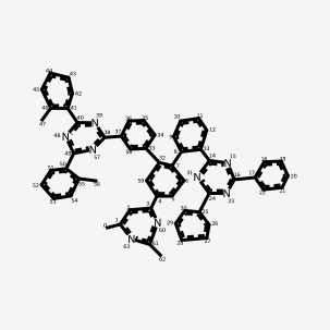 Cc1cc(-c2ccc(-c3ccccc3-c3nc(-c4ccccc4)nc(-c4ccccc4)n3)c(-c3cccc(-c4nc(-c5ccccc5C)nc(-c5ccccc5C)n4)c3)c2)nc(C)n1